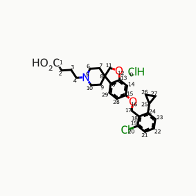 Cl.O=C(O)CCCN1CCC2(CC1)COc1cc(OCc3c(Cl)cccc3C3CC3)ccc12